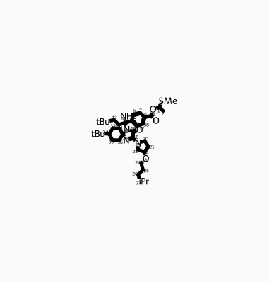 CSC(C)OC(=O)c1ccc([C@@](N)(CCC(C)(C)C)N2C(=O)C(N3CCC(OCCCC(C)C)C3)=NC23CCC(C(C)(C)C)CC3)cc1